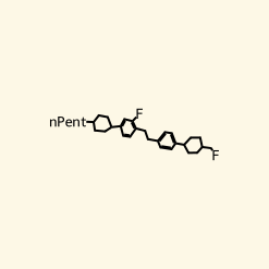 CCCCCC1CCC(c2ccc(CCc3ccc(C4CCC(CF)CC4)cc3)c(F)c2)CC1